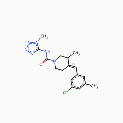 Cc1cc(Cl)cc(/C=C2\CCN(C(=O)Nc3nnnn3C)CC2C)c1